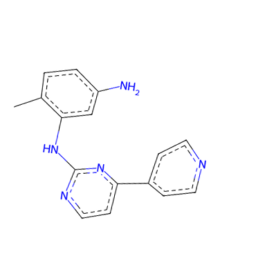 Cc1ccc(N)cc1Nc1nccc(-c2ccncc2)n1